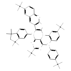 CC(C)(C)c1ccc(N2c3ccc(C(C)(C)C)cc3B3c4sc5nc6ccc(C(C)(C)C)cc6cc5c4N(c4ccc5c(c4)C(C)(C)CC5(C)C)c4nc(C(C)(C)C)nc2c43)cc1